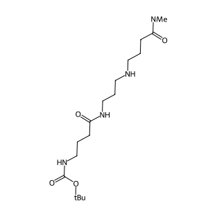 CNC(=O)CCCNCCCNC(=O)CCCNC(=O)OC(C)(C)C